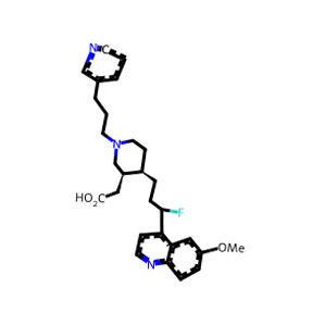 COc1ccc2nccc(C(F)CC[C@@H]3CCN(CCCc4cccnc4)C[C@@H]3CC(=O)O)c2c1